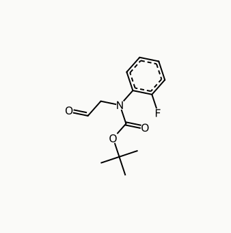 CC(C)(C)OC(=O)N(CC=O)c1ccccc1F